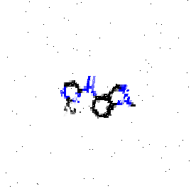 CSc1nccc(Nc2cccc3c2cnn3C)n1